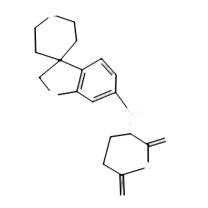 O=C1CC[C@H](Nc2ccc3c(c2)OCC32CCNCC2)C(=O)N1